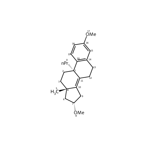 CCC[C@@]12CC[C@@]3(C)C[C@@H](OC)CC3=C1CCc1cc(OC)ccc12